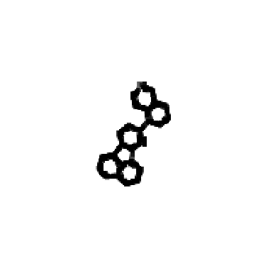 c1cc(-c2ccc3c(n2)-c2cccc4cccc-3c24)c2ccncc2c1